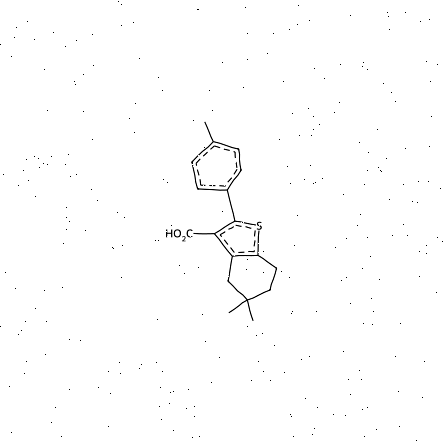 Cc1ccc(-c2sc3c(c2C(=O)O)CC(C)(C)CC3)cc1